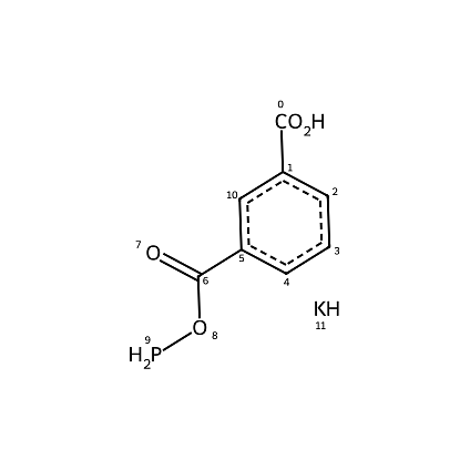 O=C(O)c1cccc(C(=O)OP)c1.[KH]